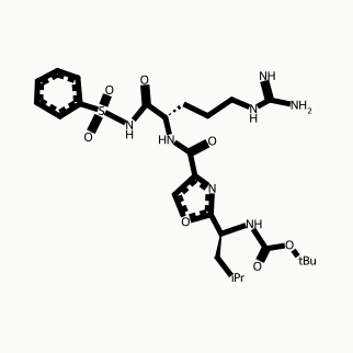 CC(C)C[C@H](NC(=O)OC(C)(C)C)c1nc(C(=O)N[C@@H](CCCNC(=N)N)C(=O)NS(=O)(=O)c2ccccc2)co1